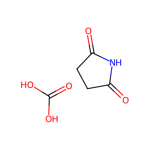 O=C(O)O.O=C1CCC(=O)N1